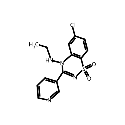 CCNN1C(c2cccnc2)=NS(=O)(=O)c2ccc(Cl)cc21